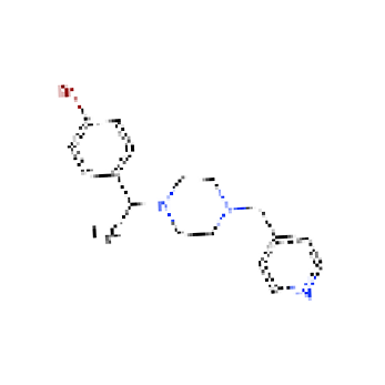 CC(c1ccc(Br)cc1)N1CCN(Cc2ccncc2)CC1